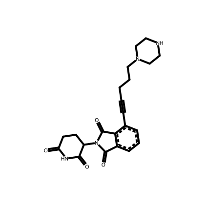 O=C1CCC(N2C(=O)c3cccc(C#CCCCN4CCNCC4)c3C2=O)C(=O)N1